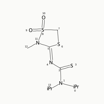 CC(C)N(C(=S)/N=C1\SCS(=O)(=O)N1C)C(C)C